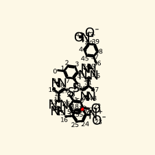 Cc1cccc(C)c1-n1ncc(-c2nnn(Cc3ccc([N+](=O)[O-])cc3)n2)c1SSc1c(-c2nnn(Cc3ccc([N+](=O)[O-])cc3)n2)cnn1-c1c(C)cccc1C